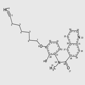 C#CCCCCCCOc1cccc(N(C)C(=O)c2ccc3ncccc3c2)c1F